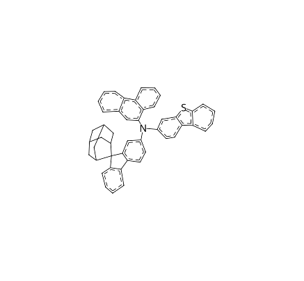 c1ccc2c(c1)-c1ccc(N(c3ccc4c(c3)sc3ccccc34)c3cc4ccccc4c4ccccc34)cc1C21C2CC3CC(C2)CC1C3